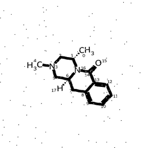 C[C@H]1CN(C)C[C@@H]2Cc3ccccc3C(=O)N21